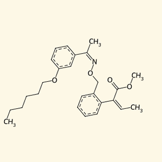 CC=C(C(=O)OC)c1ccccc1CON=C(C)c1cccc(OCCCCCC)c1